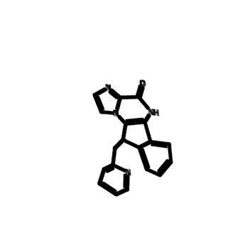 O=c1[nH]c2c(n3ccnc13)C(Cc1ccccn1)c1ccccc1-2